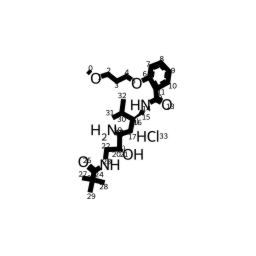 COCCCOc1ccccc1C(=O)NC[C@@H](C[C@H](N)[C@@H](O)CNC(=O)C(C)(C)C)C(C)C.Cl